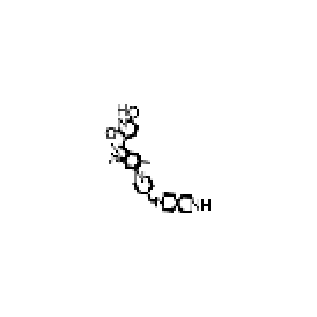 Cc1cc2c(C3CCC(=O)NC3=O)nn(C)c2cc1N1CCC(CN2CCC3(CCNCC3)CC2)CC1